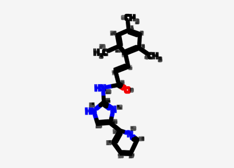 Cc1cc(C)c(/C=C/C(=O)Nc2nc(-c3ccccn3)c[nH]2)c(C)c1